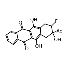 CC(=O)C1(O)Cc2c(O)c3c(c(O)c2CC1F)C(=O)c1ccccc1C3=O